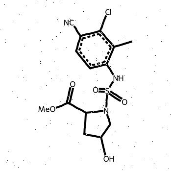 COC(=O)C1CC(O)CN1S(=O)(=O)Nc1ccc(C#N)c(Cl)c1C